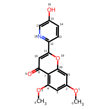 COc1cc(OC)c2c(=O)cc(-c3ccc(O)cn3)oc2c1